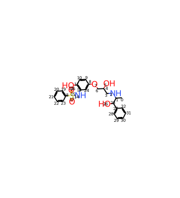 CC(NC[C@H](O)COc1ccc(O)c(NS(=O)(=O)c2ccccc2)c1)C(O)c1ccccc1